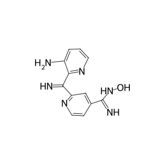 N=C(NO)c1ccnc(C(=N)c2ncccc2N)c1